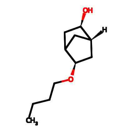 CCCCO[C@H]1C[C@H]2CC1C[C@@H]2O